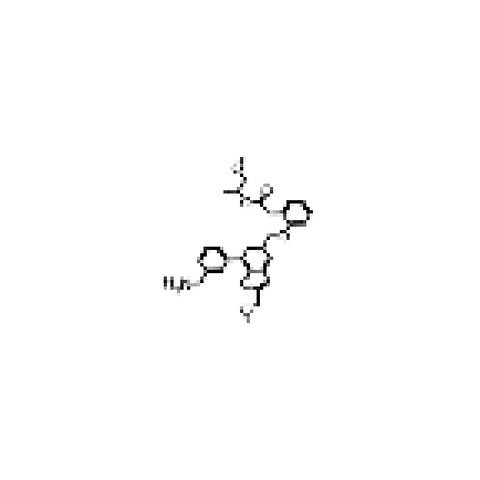 COCc1cc2cc(COc3ccccc3CC(=O)OC(C)COC)cc(-c3cccc(CN)c3)c2o1